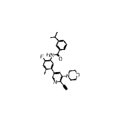 C#Cc1ncc(-c2cc(NC(=O)c3cccc(C(C)C)c3)c(F)cc2C)cc1N1CCOCC1